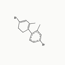 CC1=C(c2ccc(Br)cc2C)CCC(Br)=C1